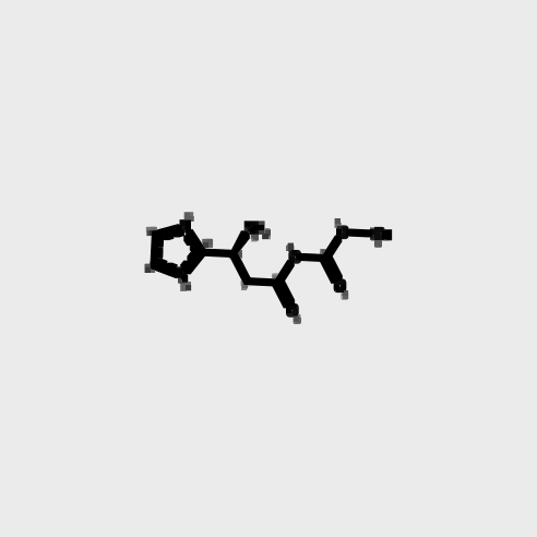 CC(C)(C)OC(=O)OC(=O)C[C@H](N)c1nccs1